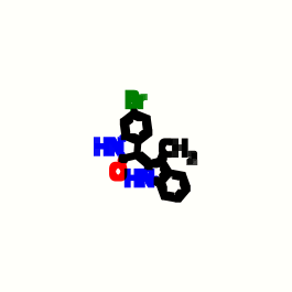 C=c1/c(=C2/C(=O)Nc3cc(Br)ccc32)[nH]c2ccccc12